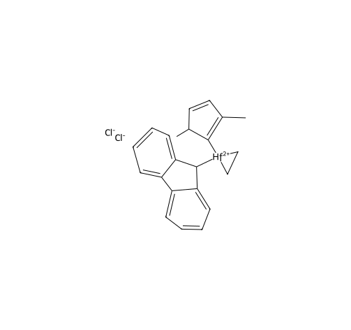 CC1=[C]([Hf+2]2([CH]3c4ccccc4-c4ccccc43)[CH2][CH2]2)C(C)C=C1.[Cl-].[Cl-]